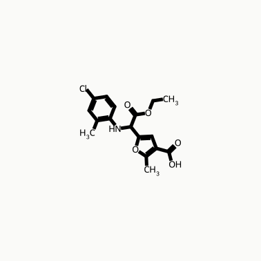 CCOC(=O)C(Nc1ccc(Cl)cc1C)c1cc(C(=O)O)c(C)o1